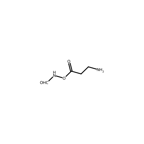 NCCC(=O)ONC=O